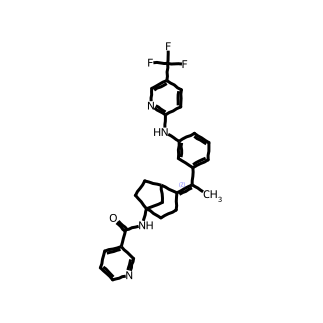 C/C(=C1\CCC2(NC(=O)c3cccnc3)CCC1C2)c1cccc(Nc2ccc(C(F)(F)F)cn2)c1